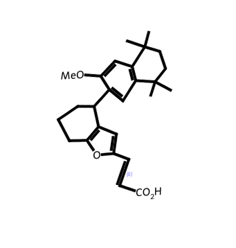 COc1cc2c(cc1C1CCCc3oc(/C=C/C(=O)O)cc31)C(C)(C)CCC2(C)C